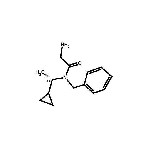 C[C@@H](C1CC1)N(Cc1ccccc1)C(=O)CN